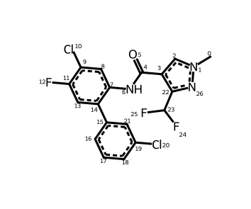 Cn1cc(C(=O)Nc2cc(Cl)c(F)cc2-c2cccc(Cl)c2)c(C(F)F)n1